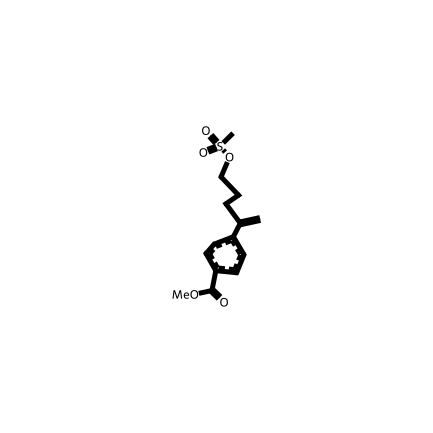 C=C(CCCOS(C)(=O)=O)c1ccc(C(=O)OC)cc1